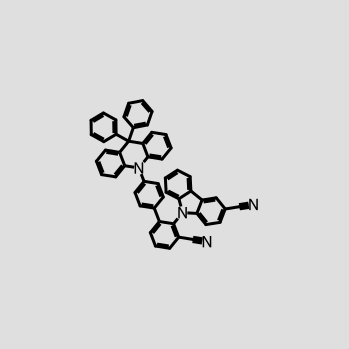 N#Cc1ccc2c(c1)c1ccccc1n2-c1c(C#N)cccc1-c1ccc(N2c3ccccc3C(c3ccccc3)(c3ccccc3)c3ccccc32)cc1